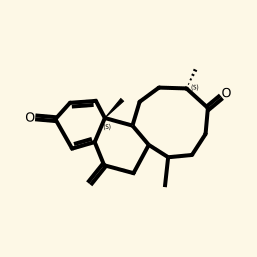 C=C1CC2C(C)CCC(=O)[C@@H](C)CCC2[C@@]2(C)C=CC(=O)C=C12